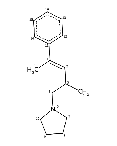 CC(=CC(C)CN1CCCC1)c1ccccc1